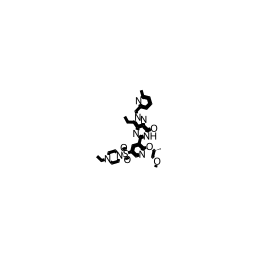 CCc1c2nc(-c3cc(S(=O)(=O)N4CCN(CC)CC4)cnc3O[C@H](C)COC)[nH]c(=O)c2nn1Cc1cccc(C)n1